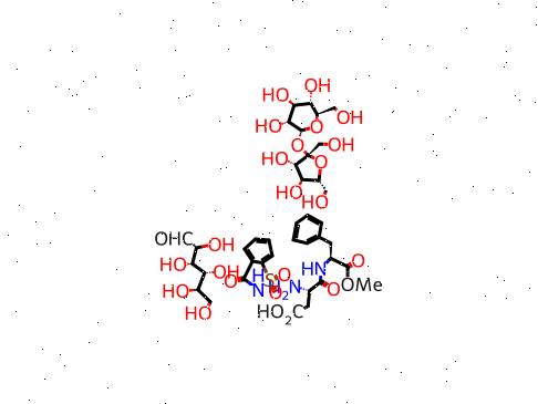 COC(=O)[C@H](Cc1ccccc1)NC(=O)[C@@H](N)CC(=O)O.O=C1NS(=O)(=O)c2ccccc21.O=C[C@H](O)[C@@H](O)[C@H](O)[C@H](O)CO.OC[C@H]1O[C@@](CO)(O[C@H]2O[C@H](CO)[C@@H](O)[C@H](O)[C@H]2O)[C@@H](O)[C@@H]1O